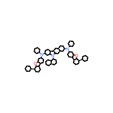 c1ccc(-c2cccc3c2oc2cc(N(c4ccccc4)c4ccc5cc6c7ccc(N(c8ccccc8)c8ccc9c(c8)oc8c(-c%10ccccc%10)cccc89)cc7n(-c7cccc8ccccc78)c6cc5c4)ccc23)cc1